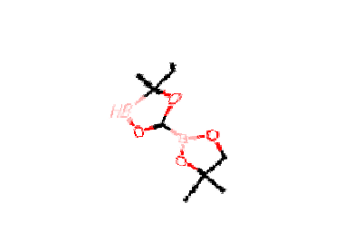 CC1(C)BOC(B2OCC(C)(C)O2)O1